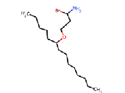 CCCCCCCCC(CCCCC)OCCC(N)Br